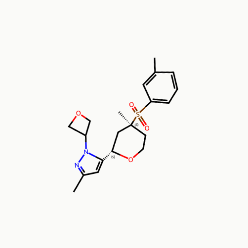 Cc1cccc(S(=O)(=O)[C@@]2(C)CCO[C@H](c3cc(C)nn3C3COC3)C2)c1